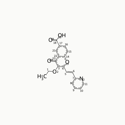 CCOc1c(/C=C/c2ccccn2)oc2ccc(C(=O)O)cc2c1=O